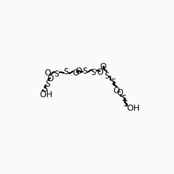 O=C(CSCCSCCOOCSCSCO)OCSCCSCOOCCSCCSCC(=O)OCSCSCO